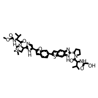 COC(=O)NC(C(=O)N1C[Si](C)(C)CC1c1ncc(-c2cc3ccc(-c4cc5cc6nc([C@@H]7CCCN7C(=O)C(NC(=O)CO)C(C)C)[nH]c6cc5s4)cc3o2)[nH]1)C(C)C